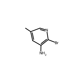 Cc1cnc(Br)c(N)c1